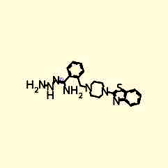 NN/N=C(\N)c1ccccc1CN1CCN(c2nc3ccccc3s2)CC1